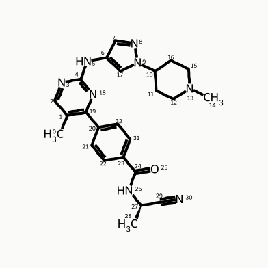 Cc1cnc(Nc2cnn(C3CCN(C)CC3)c2)nc1-c1ccc(C(=O)N[C@H](C)C#N)cc1